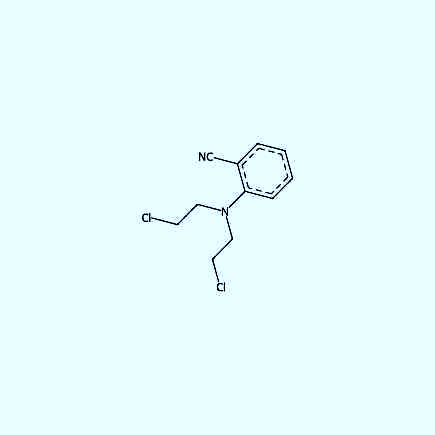 N#Cc1ccccc1N(CCCl)CCCl